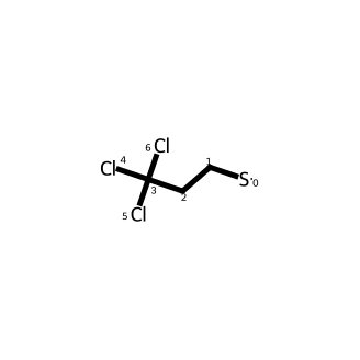 [S]CCC(Cl)(Cl)Cl